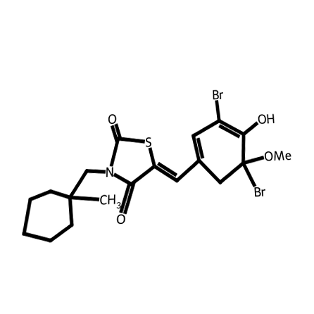 COC1(Br)CC(/C=C2\SC(=O)N(CC3(C)CCCCC3)C2=O)=CC(Br)=C1O